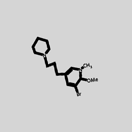 COC1C(Br)=CC(CCCN2CCCCC2)=CN1C